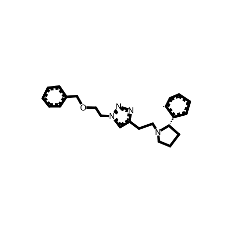 [c]1ccccc1[C@@H]1CCCN1CCc1cn(CCOCc2ccccc2)nn1